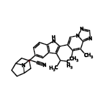 Cc1c(-c2[nH]c3ccc(C4CC5CCC(C4)N5CC#N)cc3c2C(C)C)cn2ncnc2c1C